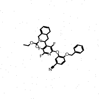 CCOC(=O)N1CC2=CC=CCC2CC1c1c(F)c(F)nc(Oc2cc(C#N)ccc2OCc2ccccc2)c1F